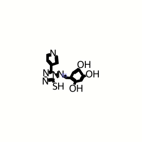 Oc1cc(O)c(/C=N/n2c(S)nnc2-c2ccncc2)cc1O